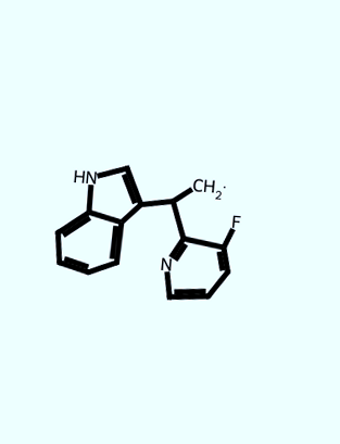 [CH2]C(c1ncccc1F)c1c[nH]c2ccccc12